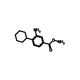 NOC(=O)c1ccc(C2CCCCC2)c(N)c1